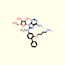 CN(c1ccc(-c2ccccc2)c(OCCCCN)c1)c1nc2c(N)ncnc2n1[C@@H]1O[C@H](CO)[C@@H](O)[C@H]1O